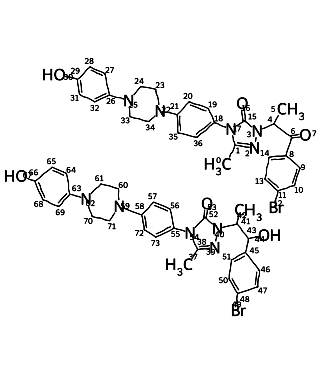 Cc1nn(C(C)C(=O)c2ccc(Br)cc2)c(=O)n1-c1ccc(N2CCN(c3ccc(O)cc3)CC2)cc1.Cc1nn(C(C)C(O)c2ccc(Br)cc2)c(=O)n1-c1ccc(N2CCN(c3ccc(O)cc3)CC2)cc1